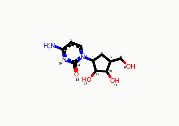 Nc1ccn(C2CC(CO)C(O)C2O)c(=O)n1